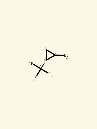 CCC1C[C@H]1C(F)(F)F